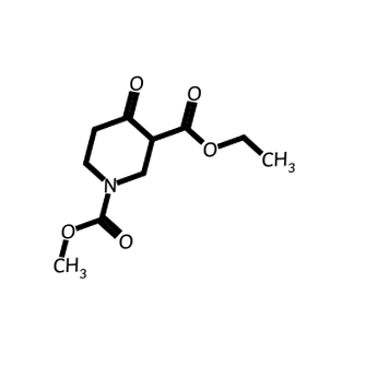 CCOC(=O)C1CN(C(=O)OC)CCC1=O